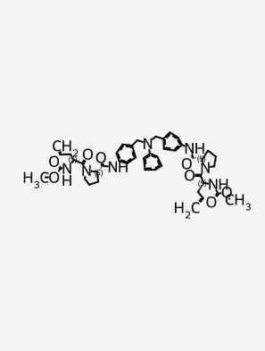 C=CC[C@H](NC(=O)OC)C(=O)N1CCC[C@H]1C(=O)Nc1ccc(CN(Cc2ccc(NC(=O)[C@@H]3CCCN3C(=O)[C@H](CC=C)NC(=O)OC)cc2)c2ccccc2)cc1